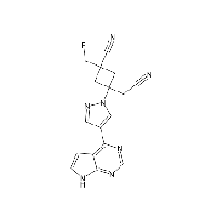 N#CCC1(n2cc(-c3ncnc4[nH]ccc34)cn2)CC(C#N)(CF)C1